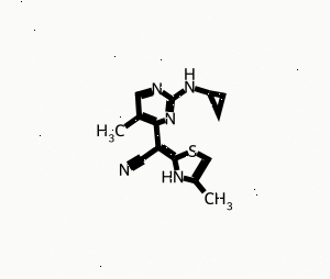 CC1=CS/C(=C(/C#N)c2nc(NC3CC3)ncc2C)N1